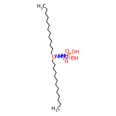 CCCCCCCCCCCCCOCCCCCCCCCCCCC.N.N.N.O=P(O)(O)O